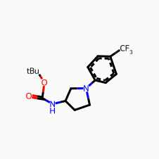 CC(C)(C)OC(=O)NC1CCN(c2ccc(C(F)(F)F)cc2)C1